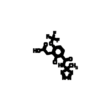 CC1(NC(=O)c2ccc(OC(F)(F)F)c(CC(=O)O)c2Cl)N=NN=N1